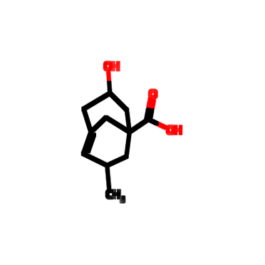 CC1C=C2CC(O)CC(C(=O)O)(C2)C1